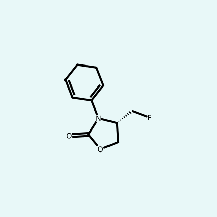 O=C1OC[C@@H](CF)N1C1=CCCC=C1